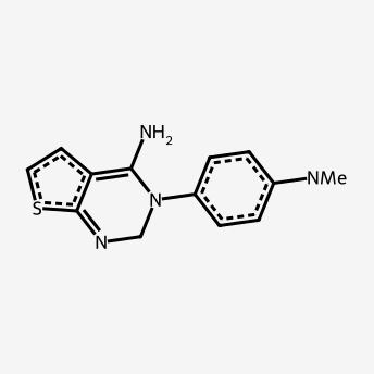 CNc1ccc(N2CN=c3sccc3=C2N)cc1